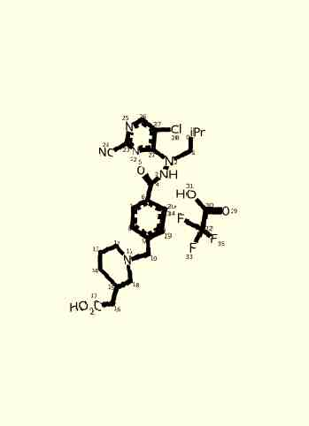 CC(C)CN(NC(=O)c1ccc(CN2CCCC(CC(=O)O)C2)cc1)c1nc(C#N)ncc1Cl.O=C(O)C(F)(F)F